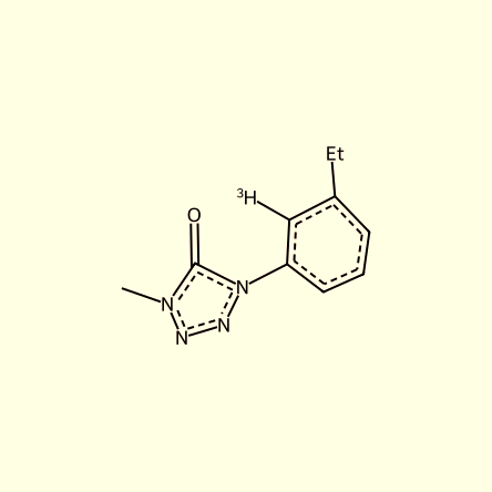 [3H]c1c(CC)cccc1-n1nnn(C)c1=O